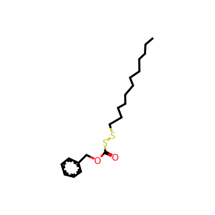 CCCCCCCCCCCCSSC(=O)OCc1ccccc1